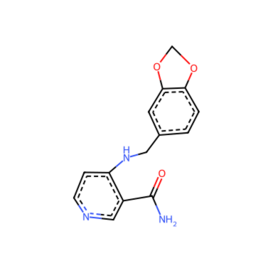 NC(=O)c1cnccc1NCc1ccc2c(c1)OCO2